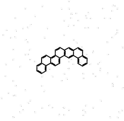 c1ccc2c(c1)ccc1cc3ccc4c(ccc5c6ccccc6ccc54)c3cc12